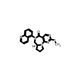 CSc1ncc2c(n1)N1CCC[C@H]1CN(c1cccc3ncccc13)C2=O